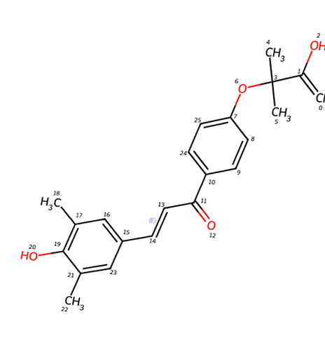 C=C(O)C(C)(C)Oc1ccc(C(=O)/C=C/c2cc(C)c(O)c(C)c2)cc1